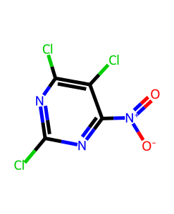 O=[N+]([O-])c1nc(Cl)nc(Cl)c1Cl